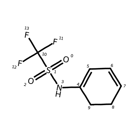 O=S(=O)(NC1=CC=CC[CH]1)C(F)(F)F